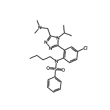 CCCCN(c1ccc(Cl)cc1-c1nnc(CN(C)C)n1C(C)C)S(=O)(=O)c1ccccc1